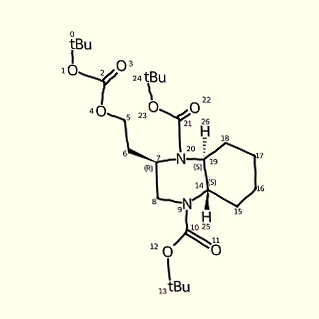 CC(C)(C)OC(=O)OCC[C@@H]1CN(C(=O)OC(C)(C)C)[C@H]2CCCC[C@@H]2N1C(=O)OC(C)(C)C